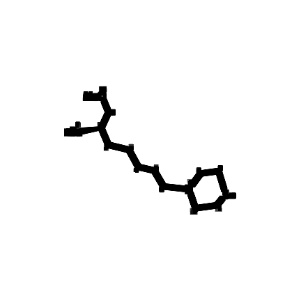 CCCC[C@H](CCCCCN1CCSCC1)COC